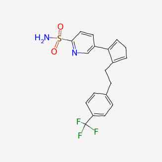 NS(=O)(=O)c1ccc(C2=CCC=C2CCc2ccc(C(F)(F)F)cc2)cn1